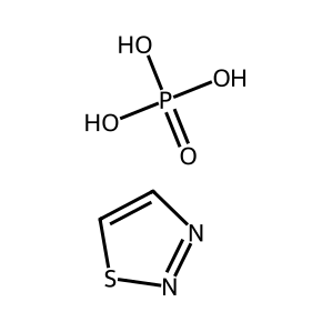 O=P(O)(O)O.c1csnn1